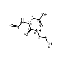 O=CN[C@H](CC(=O)O)C(=O)NCCO